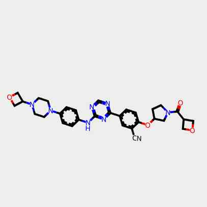 N#Cc1cc(-c2ncnc(Nc3ccc(N4CCN(C5COC5)CC4)cc3)n2)ccc1OC1CCN(C(=O)C2COC2)C1